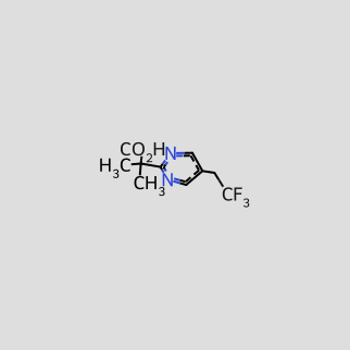 CC(C)(C(=O)O)c1ncc(CC(F)(F)F)cn1